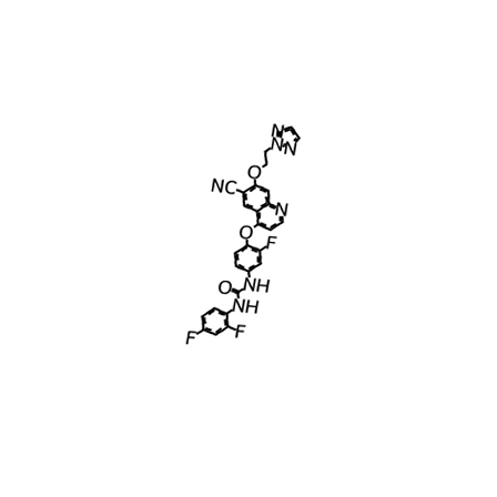 N#Cc1cc2c(Oc3ccc(NC(=O)Nc4ccc(F)cc4F)cc3F)ccnc2cc1OCCn1nccn1